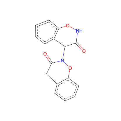 O=C1NOc2ccccc2C1N1Oc2ccccc2CC1=O